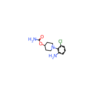 NC(=O)OC1CCN(c2c(N)cccc2Cl)CC1